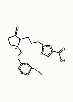 COc1cccc(OC[C@H]2CCC(=O)N2CCSc2nc(C(=O)O)cs2)c1